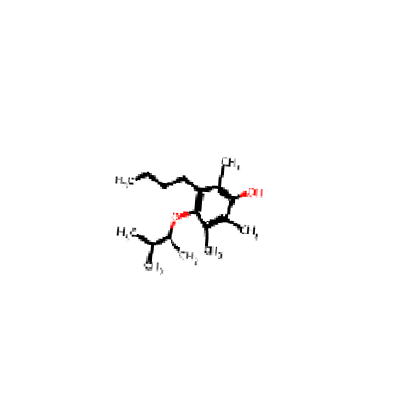 CCCCc1c(C)c(O)c(C)c(C)c1O[C@@H](C)C(C)C